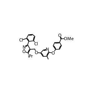 COC(=O)c1ccc(Oc2ncc(OCc3c(-c4c(Cl)cccc4Cl)noc3C(C)C)cc2C)cc1